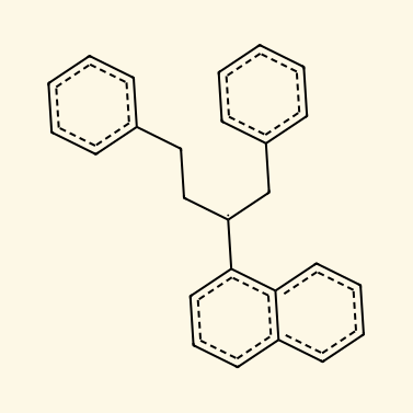 c1ccc(CC[C](Cc2ccccc2)c2cccc3ccccc23)cc1